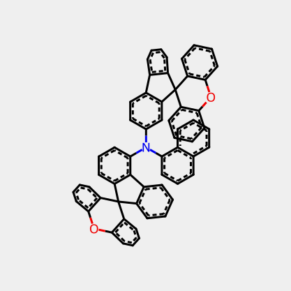 c1ccc2c(c1)Oc1ccccc1C21c2ccccc2-c2ccc(N(c3cccc4c3-c3ccccc3C43c4ccccc4Oc4ccccc43)c3cccc4ccccc34)cc21